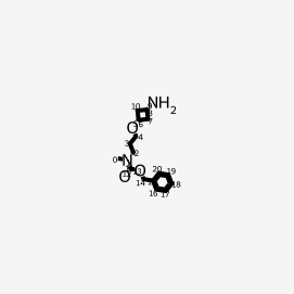 CN(CCCOC1CC(N)C1)C(=O)OCc1ccccc1